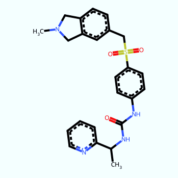 CC(NC(=O)Nc1ccc(S(=O)(=O)Cc2ccc3c(c2)CN(C)C3)cc1)c1ccccn1